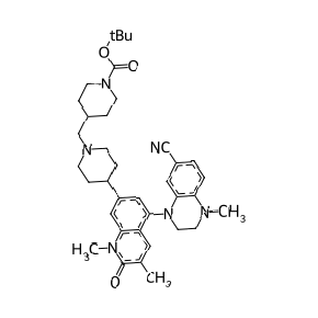 Cc1cc2c(N3CCN(C)c4ccc(C#N)cc43)cc(C3CCN(CC4CCN(C(=O)OC(C)(C)C)CC4)CC3)cc2n(C)c1=O